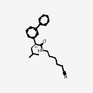 CC(C)C[C@H](C(=O)NCCCCCC#N)c1cccc(-c2ccccc2)c1